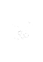 COCc1nc2c(N)nc3cccc(CCCCN)c3c2[nH]1